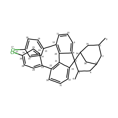 CC1CC2CC(C)C3(c4cccc(-c5ccc(Cl)cc5)c4-c4c(-c5ccc(Cl)cc5)cccc43)C(C1)C2